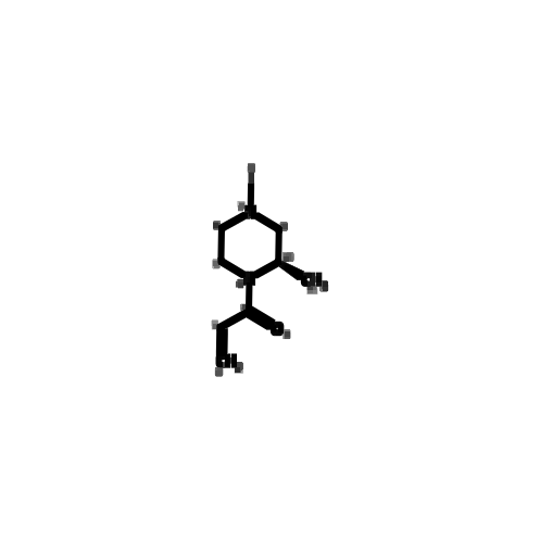 C=CC(=O)N1CCN(I)C[C@H]1C